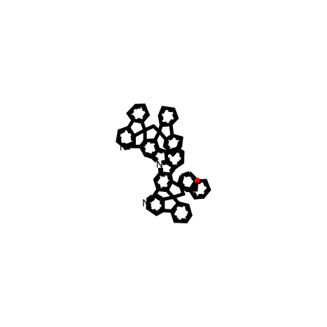 N#Cc1cc2c(c3c1C1(CC34c3ccccc3-c3ccccc34)c3ccccc3-c3ccccc31)c1cccc3c4c5c(c(C#N)cc4n2c13)C1(CC52c3ccccc3-c3ccccc32)c2ccccc2-c2ccccc21